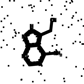 N#CCc1[nH]nc2ncnc(N)c12